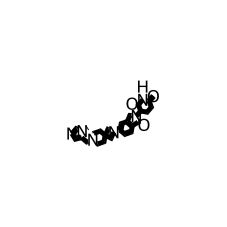 Cn1cncc1CN1CCC2(CC1)CN(c1ccc3c(c1)CN(C1CCC(=O)NC1=O)C3=O)C2